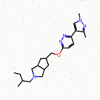 CCC(C)CN1CC2CC(COc3ccc(-c4cn(C)nc4C)nn3)CC2C1